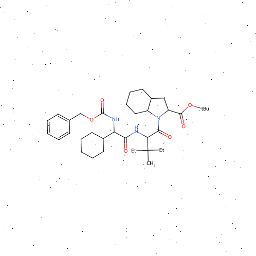 CCC(C)(CC)C(NC(=O)C(NC(=O)OCc1ccccc1)C1CCCCC1)C(=O)N1C(C(=O)OC(C)(C)C)CC2CCCCC21